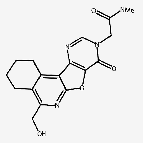 CNC(=O)Cn1cnc2c(oc3nc(CO)c4c(c32)CCCC4)c1=O